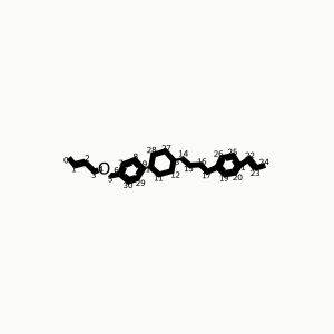 CC=CCOCc1ccc([C@H]2CC[C@H](CCCCc3ccc(C=CC)cc3)CC2)cc1